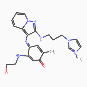 CC1=C/C(=N\c2c(NCCCn3cc[n+](C)c3)nn3ccccc23)C(NCCO)=CC1=O